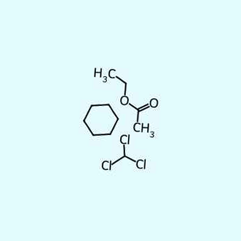 C1CCCCC1.CCOC(C)=O.ClC(Cl)Cl